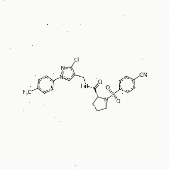 N#Cc1ccc(S(=O)(=O)N2CCC[C@H]2C(=O)NCc2cn(-c3ccc(C(F)(F)F)cc3)nc2Cl)cc1